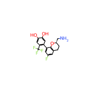 NC[C@H]1CCc2cc(F)cc(-c3cc(O)c(O)cc3C(F)(F)F)c2O1